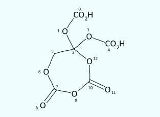 O=C(O)OC1(OC(=O)O)COC(=O)OC(=O)O1